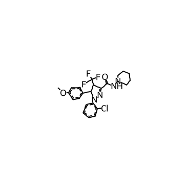 COc1ccc(C2C(C(F)(F)F)C(C(=O)NN3CCCCC3)=NN2c2ccccc2Cl)cc1